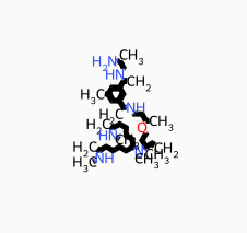 C=CC(C)(CCOC(C)CCNC(=C)c1cc(C)cc(C(=C)NCC(C)N)c1)N(C)C(CCCCC(=C)NC)CCCCC(=C)NC